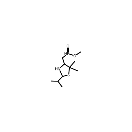 CO[PH](=O)CC1NC(C(C)C)SC1(C)C